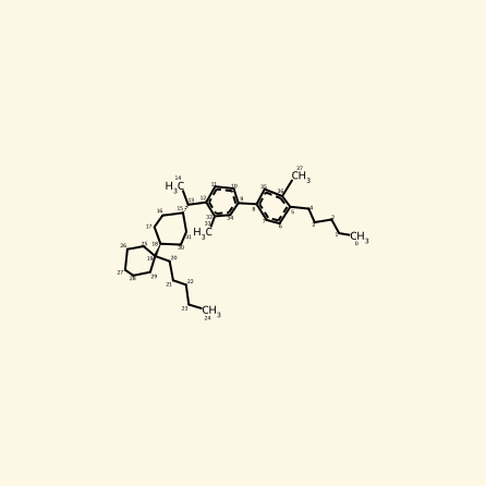 CCCCCc1ccc(-c2ccc(C(C)[C@H]3CC[C@H](C4(CCCCC)CCCCC4)CC3)c(C)c2)cc1C